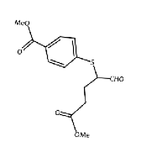 COC(=O)CCC(C=O)Sc1ccc(C(=O)OC)cc1